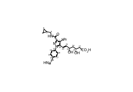 CC(C)c1c(C(=O)NCC2CC2)nn(-c2ccc(F)cc2)c1C=C[C@H](O)C[C@@H](O)CC(=O)O.[NaH]